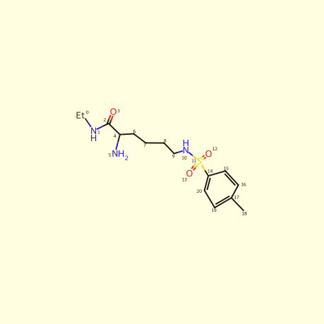 CCNC(=O)C(N)CCCCNS(=O)(=O)c1ccc(C)cc1